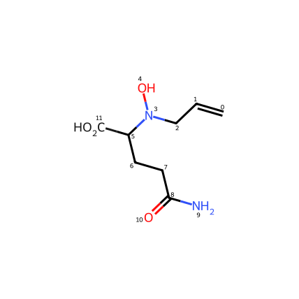 C=CCN(O)C(CCC(N)=O)C(=O)O